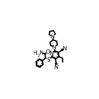 CCc1c(C#N)c(S[C@@H](C(N)=O)c2ccccc2)nc(N2CCC(N3CCCC3)CC2)c1C#N